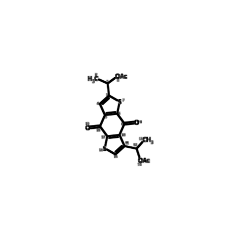 CC(=O)OC(C)c1cc2c(s1)C(=O)c1c(C(C)OC(C)=O)csc1C2=O